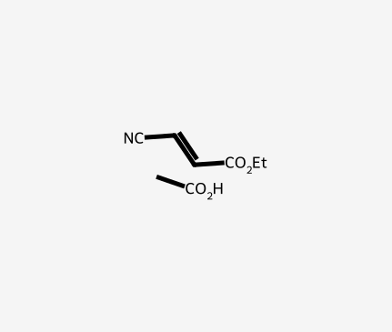 CC(=O)O.CCOC(=O)C=CC#N